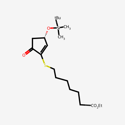 CCOC(=O)CCCCCCSC1=C[C@@H](O[Si](C)(C)C(C)(C)C)CC1=O